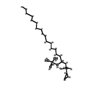 CCCCCCCCCCCCCCCCC(C[N+](C)(C)C1CC1)OP(=O)(O)O